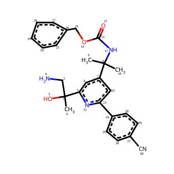 CC(O)(CN)c1cc(C(C)(C)NC(=O)OCc2ccccc2)cc(-c2ccc(C#N)cc2)n1